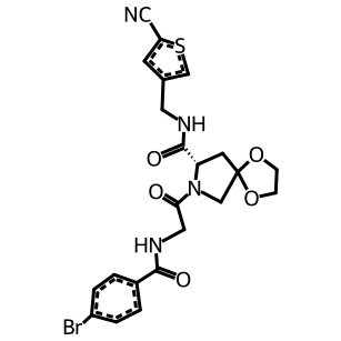 N#Cc1cc(CNC(=O)[C@@H]2CC3(CN2C(=O)CNC(=O)c2ccc(Br)cc2)OCCO3)cs1